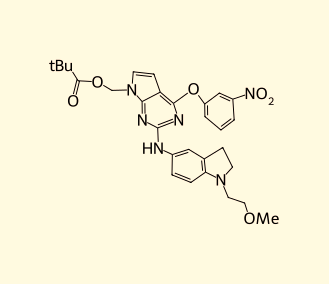 COCCN1CCc2cc(Nc3nc(Oc4cccc([N+](=O)[O-])c4)c4ccn(COC(=O)C(C)(C)C)c4n3)ccc21